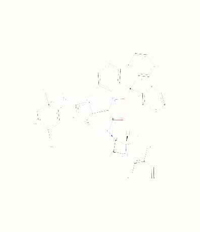 C=CC1=C(C(=O)O)N2C(=O)[C@@H](NC(=O)/C(=N\OC(c3ccccc3)(c3ccccc3)c3ccccc3)c3csc(N)n3)[C@@H]2SC1.Cc1ccc(S(=O)(=O)O)cc1